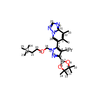 Cc1c(-c2c(C(C)C)c(B3OC(C)(C)C(C)(C)O3)nn2COCC[Si](C)(C)C)cn2ncnc2c1C